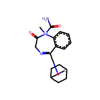 C[N+]1(C(N)=O)C(=O)[CH]N=C(N2CC3CCC(CC3)C2)c2ccccc21